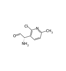 Cc1ccc([C@H](N)C=O)c(Cl)n1